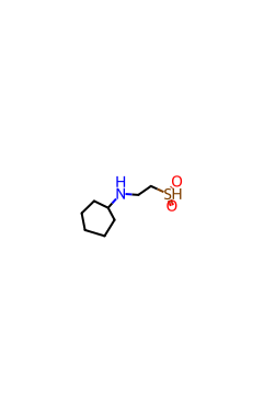 O=[SH](=O)CCNC1CCCCC1